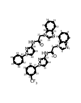 O=C(Cn1cnc2ccccc21)Nc1ccn(-c2cccc(C(F)(F)F)c2)n1.O=C(Cn1cnc2ccccc21)Nc1ccn(-c2ccccc2)n1